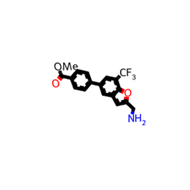 COC(=O)c1ccc(-c2cc(C(F)(F)F)c3oc(CN)cc3c2)cc1